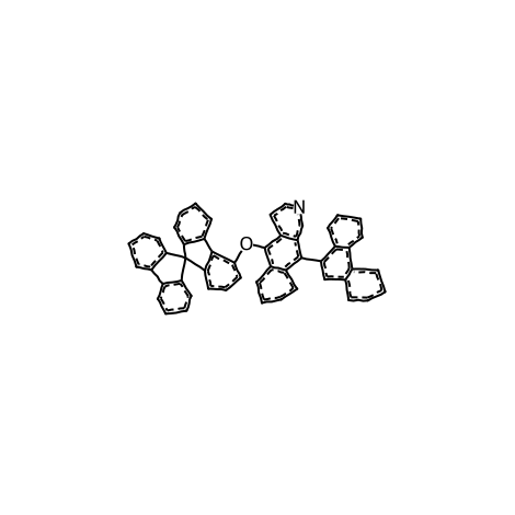 c1ccc2c(c1)-c1ccccc1C21c2ccccc2-c2c(Oc3c4ccccc4c(-c4cc5ccccc5c5ccccc45)c4cnccc34)cccc21